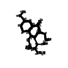 CCCCOc1c(C(NC(=O)O)C(C)(C)C)n(CC(C)(C)C)c(=O)c2cc(OCC)ccc12